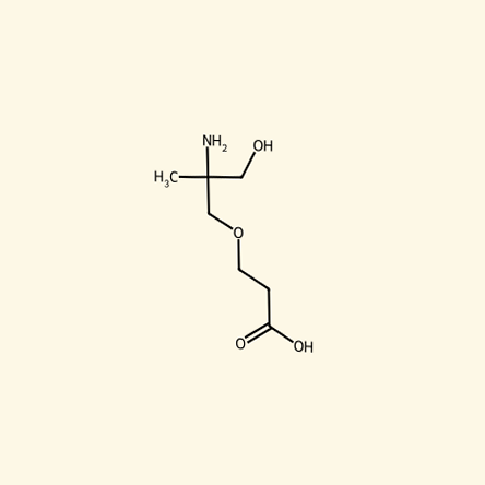 CC(N)(CO)COCCC(=O)O